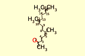 CC(=O)C=CC=C(C)C=CC=C(C)CCC=C(C)C